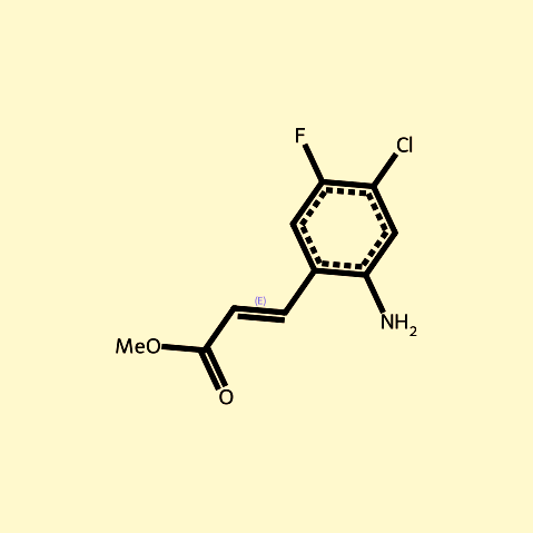 COC(=O)/C=C/c1cc(F)c(Cl)cc1N